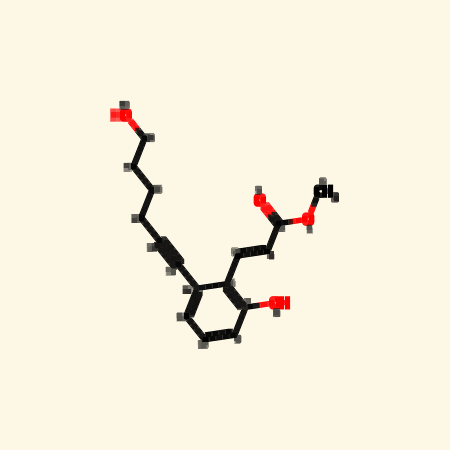 COC(=O)/C=C/c1c(O)cccc1C#CCCCCO